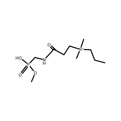 CCC[N+](C)(C)CCC(=O)NCP(=O)(O)OC